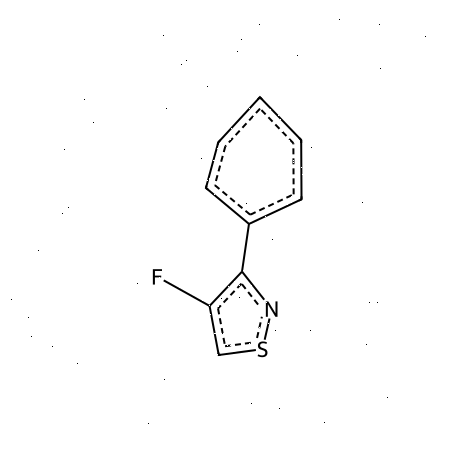 Fc1csnc1-c1ccccc1